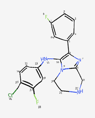 Fc1cccc(-c2nc3n(c2Nc2ccc(Cl)c(F)c2)CCNC3)c1